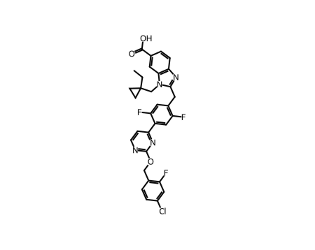 CCC1(Cn2c(Cc3cc(F)c(-c4ccnc(OCc5ccc(Cl)cc5F)n4)cc3F)nc3ccc(C(=O)O)cc32)CC1